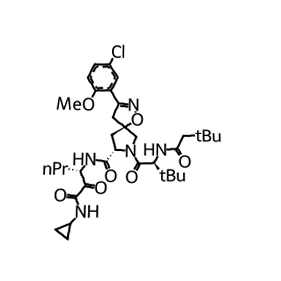 CCC[C@H](NC(=O)[C@@H]1C[C@]2(CC(c3cc(Cl)ccc3OC)=NO2)CN1C(=O)[C@@H](NC(=O)CC(C)(C)C)C(C)(C)C)C(=O)C(=O)NC1CC1